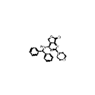 O=C1OCc2c(NC(c3ccccc3)c3ccccc3)nc(N3CCOCC3)nc21